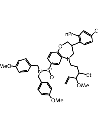 C=CC(OC)C(CC)CCN1CC(c2ccc(Cl)cc2CCC)COc2ccc([S+]([O-])N(Cc3ccc(OC)cc3)Cc3ccc(OC)cc3)cc21